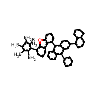 Bc1c(B)c(B)c(-c2cccc3c2oc2cccc(-c4c5ccccc5c(-c5ccccc5)c5cc(-c6cccc7ccccc67)ccc45)c23)c(B)c1B